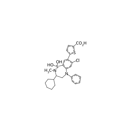 CN1C(C2CCCCC2)CN(c2ccccc2)c2cc(Cl)c(-c3ccc(C(=O)O)s3)cc2S1(O)O